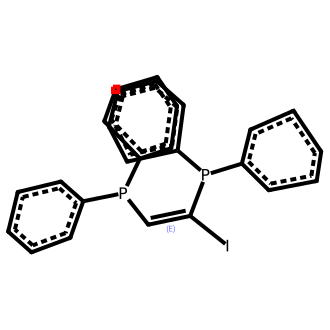 I/C(=C/P(c1ccccc1)c1ccccc1)P(c1ccccc1)c1ccccc1